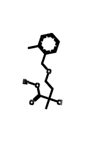 Cc1ccccc1COCCC(C)(Cl)C(=O)OBr